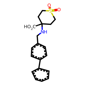 O=C(O)C1(NCc2ccc(-c3ccccc3)cc2)CCS(=O)(=O)CC1